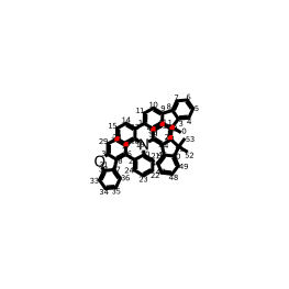 CC1(C)c2ccccc2-c2ccc(-c3ccccc3N(c3ccccc3-c3cccc4oc5ccccc5c34)c3cccc4c3-c3ccccc3C4(C)C)cc21